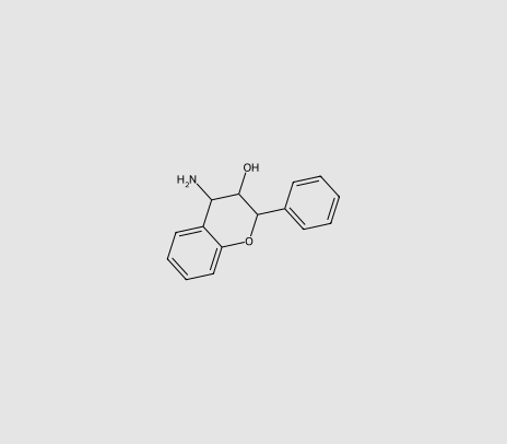 NC1c2ccccc2OC(c2ccccc2)C1O